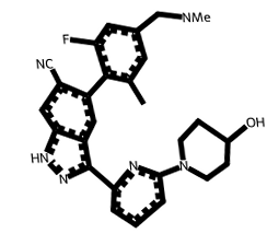 CNCc1cc(C)c(-c2cc3c(-c4cccc(N5CCC(O)CC5)n4)n[nH]c3cc2C#N)c(F)c1